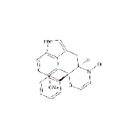 CCN1C=CO[C@]2(c3ccccc3)c3c(OC)ccc4[nH]cc(c34)C[C@@H]12